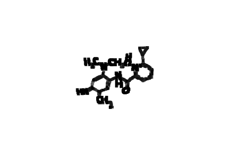 C=C1C=C(NC(=O)c2cccc(C3CC3)[n+]2O)C(N(C)C)=CC1=N